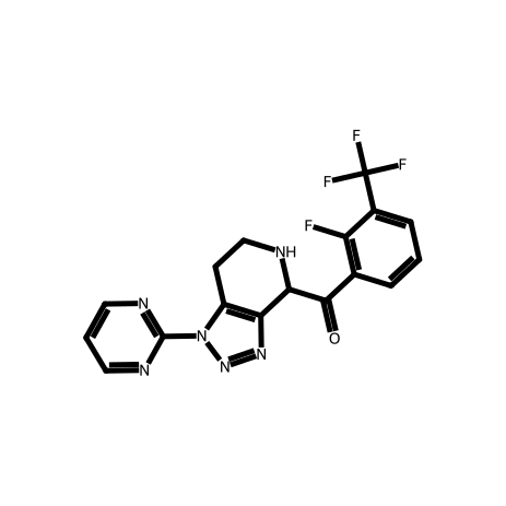 O=C(c1cccc(C(F)(F)F)c1F)C1NCCc2c1nnn2-c1ncccn1